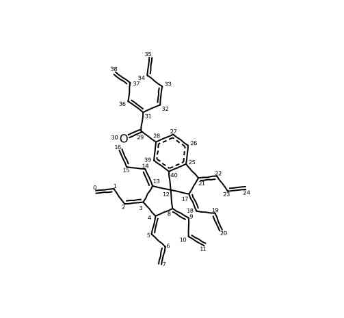 C=CC=C1C(=C/C=C)/C(=C\C=C)C2(/C1=C/C=C)C(=C/C=C)/C(=C\C=C)c1ccc(C(=O)C(/C=C\C=C)=C/C=C)cc12